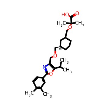 Cc1ccc(-c2nc(COC[C@@H]3CCCC(COC(C)(C)C(=O)O)C3)c(C(C)C)o2)cc1C